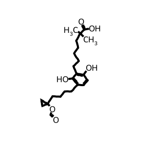 CC(C)(CCCCCc1c(O)ccc(CCCCC2(OC=O)CC2)c1O)C(=O)O